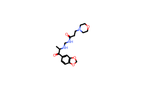 CC(NCNC(=O)CCN1CCOCC1)C(=O)c1ccc2c(c1)OCO2